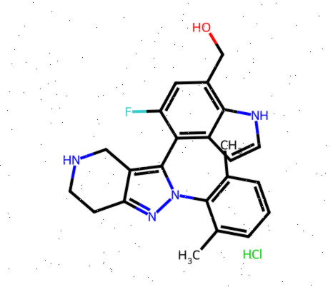 Cc1cccc(C)c1-n1nc2c(c1-c1c(F)cc(CO)c3[nH]ccc13)CNCC2.Cl